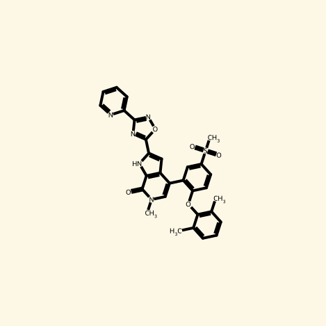 Cc1cccc(C)c1Oc1ccc(S(C)(=O)=O)cc1-c1cn(C)c(=O)c2[nH]c(-c3nc(-c4ccccn4)no3)cc12